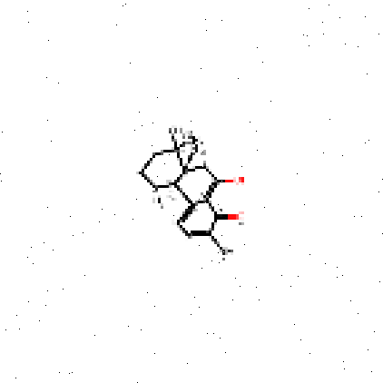 CC(C)C1=CC=C2C(=C(O)C[C@H]3C(C)(C)CCC[C@]23C)C1=O